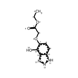 CCOC(=O)COc1ccc2[nH]nnc2c1O